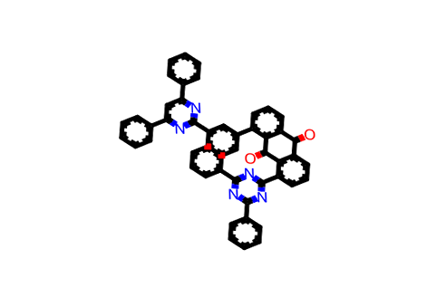 O=C1c2cccc(-c3cccc(-c4nc(-c5ccccc5)cc(-c5ccccc5)n4)c3)c2C(=O)c2c1cccc2-c1nc(-c2ccccc2)nc(-c2ccccc2)n1